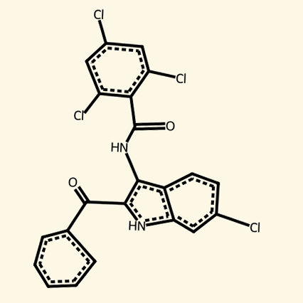 O=C(c1ccccc1)c1[nH]c2cc(Cl)ccc2c1NC(=O)c1c(Cl)cc(Cl)cc1Cl